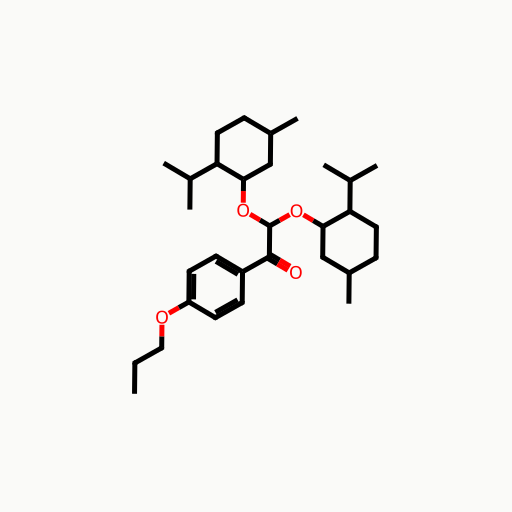 CCCOc1ccc(C(=O)C(OC2CC(C)CCC2C(C)C)OC2CC(C)CCC2C(C)C)cc1